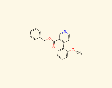 COc1ccccc1-c1ccncc1C(=O)OCc1ccccc1